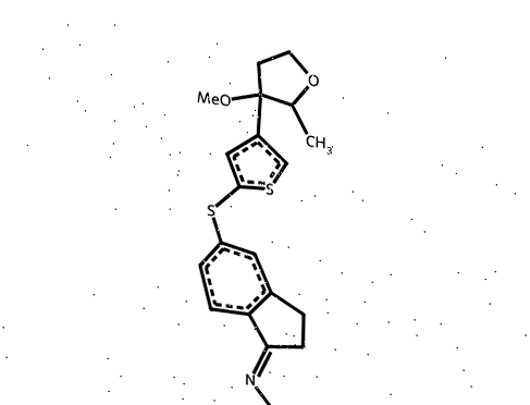 COC1(c2csc(Sc3ccc4c(c3)CCC4=NO)c2)CCOC1C